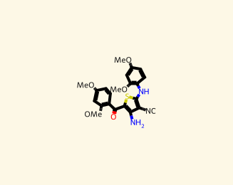 [C-]#[N+]c1c(Nc2ccc(OC)cc2OC)sc(C(=O)c2ccc(OC)cc2OC)c1N